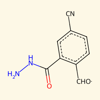 N#Cc1ccc([C]=O)c(C(=O)NN)c1